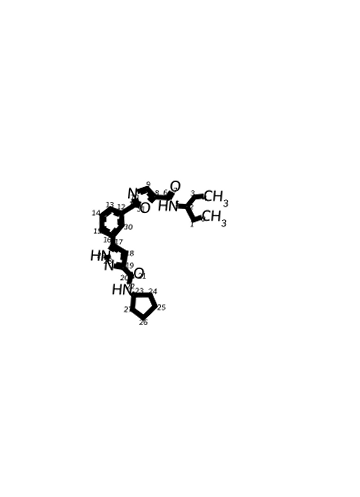 CCC(CC)NC(=O)c1cnc(-c2cccc(-c3cc(C(=O)NC4CCCC4)n[nH]3)c2)o1